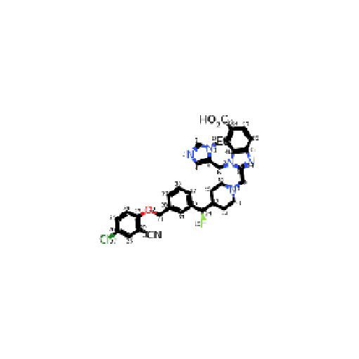 CCn1cncc1Cn1c(CN2CCC([C@@H](F)c3cccc(COc4ccc(Cl)cc4C#N)c3)CC2)nc2ccc(C(=O)O)cc21